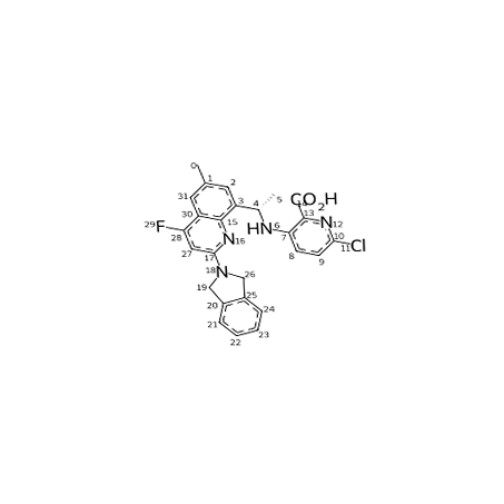 Cc1cc([C@H](C)Nc2ccc(Cl)nc2C(=O)O)c2nc(N3Cc4ccccc4C3)cc(F)c2c1